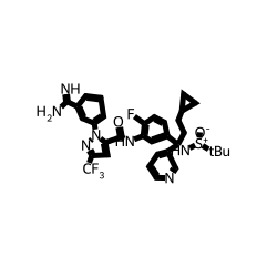 CC(C)(C)[S+]([O-])NC(CCC1CC1)(c1cccnc1)c1ccc(F)c(NC(=O)c2cc(C(F)(F)F)nn2-c2cccc(C(=N)N)c2)c1